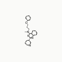 CN(CCCOc1ccccc1)c1nc(-c2cccnc2)nc2ccccc12